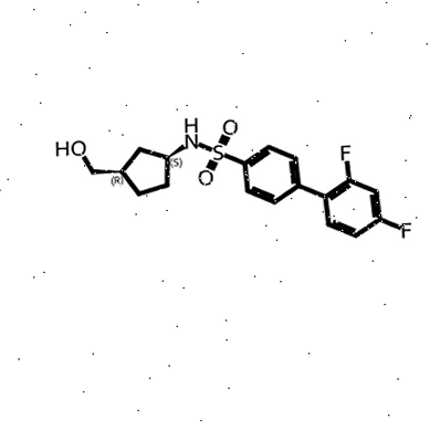 O=S(=O)(N[C@H]1CC[C@@H](CO)C1)c1ccc(-c2ccc(F)cc2F)cc1